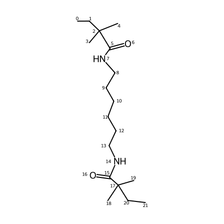 CCC(C)(C)C(=O)NCCCCCCNC(=O)C(C)(C)CC